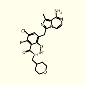 Cc1nc(Cc2cc(Cl)c(F)c(C(=O)NCC3CCOCC3)c2OC(C)C)n2ccnc(N)c12